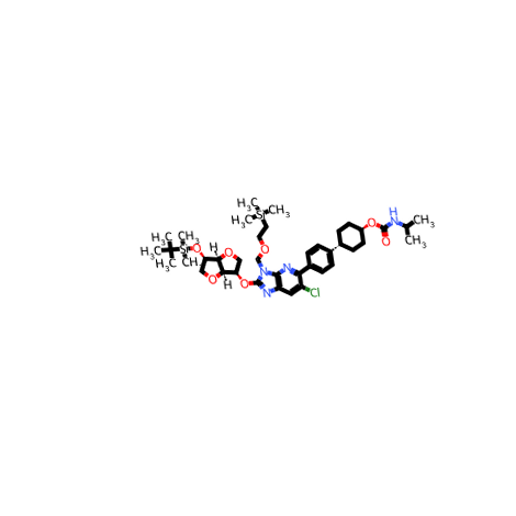 CC(C)NC(=O)O[C@H]1CC[C@H](c2ccc(-c3nc4c(cc3Cl)nc(O[C@@H]3CO[C@H]5[C@@H]3OC[C@H]5O[Si](C)(C)C(C)(C)C)n4COCC[Si](C)(C)C)cc2)CC1